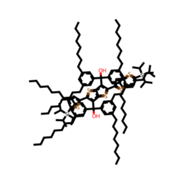 CCCCCCCCc1cc(CCCCCCCC)cc(C(O)(c2cc(CCCCCCCC)cc(CCCCCCCC)c2)c2c(-c3ccc([Si](C(C)C)(C(C)C)C(C)C)s3)sc3c(C(O)(c4cc(CCCCCCCC)cc(CCCCCCCC)c4)c4cc(CCCCCCCC)cc(CCCCCCCC)c4)c(-c4cc5sc([Si](C(C)C)(C(C)C)C(C)C)cc5s4)sc23)c1